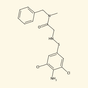 CN(Cc1ccccc1)C(=O)CNSc1cc(Cl)c(N)c(Cl)c1